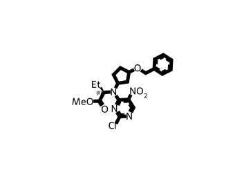 CC[C@H](C(=O)OC)N(c1nc(Cl)ncc1[N+](=O)[O-])C1CCC(OCc2ccccc2)C1